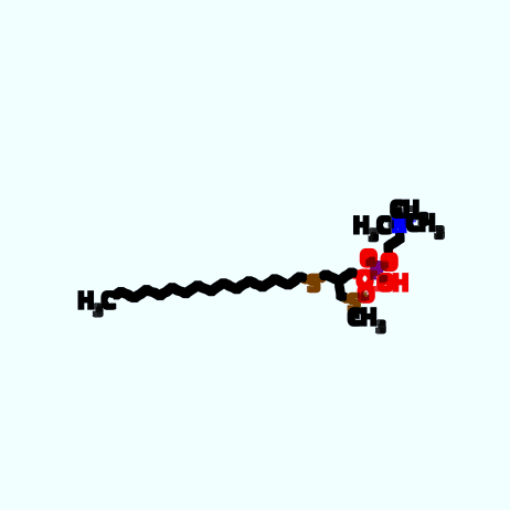 CCCCCCCCCCCCCCCCSCC(COP(=O)(O)OCC[N+](C)(C)C)C[S+](C)[O-]